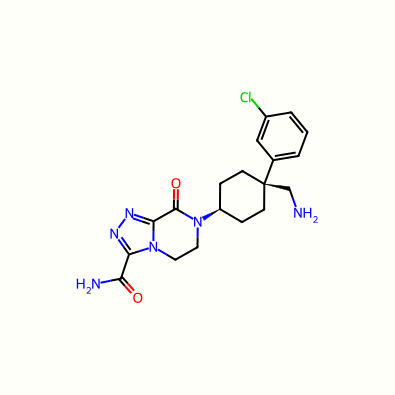 NC[C@]1(c2cccc(Cl)c2)CC[C@H](N2CCn3c(C(N)=O)nnc3C2=O)CC1